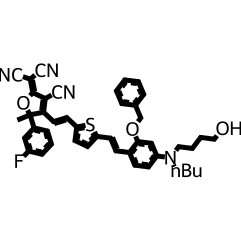 CCCCN(CCCCO)c1ccc(/C=C/c2ccc(/C=C/C3=C(C#N)C(=C(C#N)C#N)OC3(C)c3cccc(F)c3)s2)c(OCc2ccccc2)c1